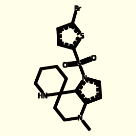 CN1CCC2(CCCCN2)c2c1ccn2S(=O)(=O)c1ccc(Br)s1